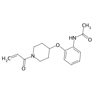 C=CC(=O)N1CCC(Oc2ccccc2NC(C)=O)CC1